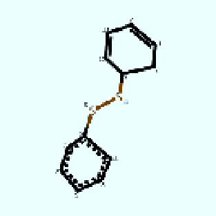 C1=CCC(SSc2ccccc2)C=C1